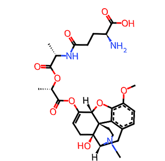 COc1ccc2c3c1O[C@H]1C(OC(=O)[C@H](C)OC(=O)[C@H](C)NC(=O)CC[C@H](N)C(=O)O)=CC[C@@]4(O)[C@@H](C2)N(C)CC[C@]314